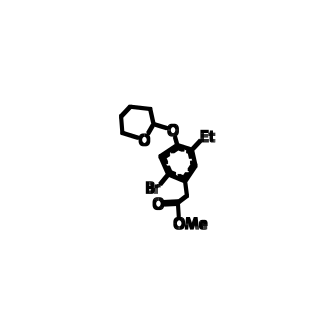 CCc1cc(CC(=O)OC)c(Br)cc1OC1CCCCO1